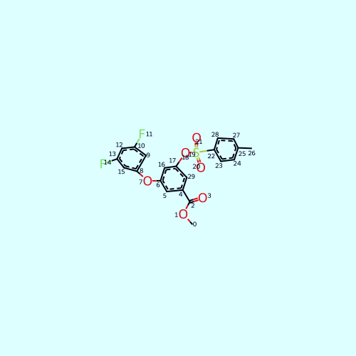 COC(=O)c1cc(Oc2cc(F)cc(F)c2)cc(OS(=O)(=O)c2ccc(C)cc2)c1